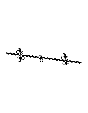 CCCCCCCCC(OC(=O)CC)C(O)CCCCCCCCCCCC(=O)OCCCCCCCCC(OC(=O)CC)C(CCCCCCCC)OC(=O)CC